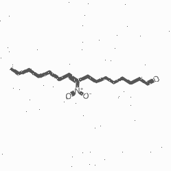 CCCCCC/C=C(/CCCCCCCC=O)[N+](=O)[O-]